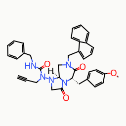 C#CCN(C(=O)NCc1ccccc1)N1CC(=O)N2[C@@H](Cc3ccc(OC)cc3)C(=O)N(Cc3cccc4ccccc34)C[C@@H]21